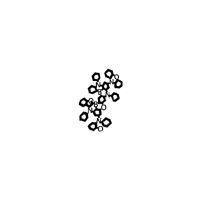 c1ccc(N2c3ccccc3B3c4cc5c(cc4N(c4ccccc4)c4cc(N6c7ccccc7Oc7ccccc76)cc2c43)Oc2cc(N3c4ccccc4Oc4ccccc43)cc3c2B5c2oc4ccccc4c2N3c2ccccc2)cc1